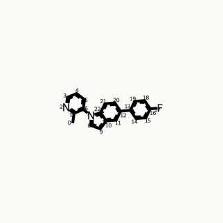 Cc1ncccc1-n1ccc2cc(-c3ccc(F)cc3)ccc21